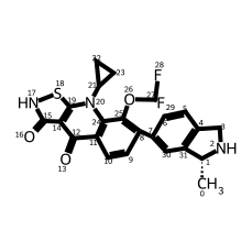 C[C@H]1NCc2ccc(-c3ccc4c(=O)c5c(=O)[nH]sc5n(C5CC5)c4c3OC(F)F)cc21